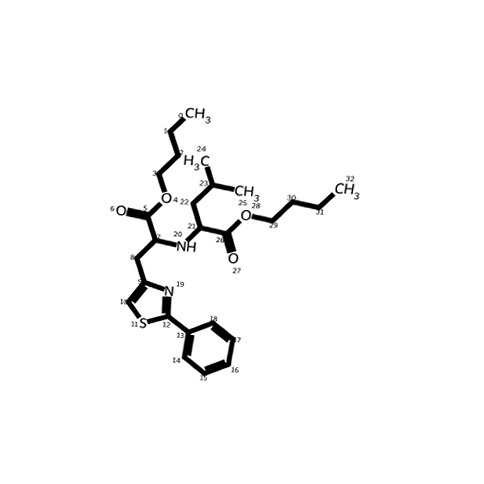 CCCCOC(=O)C(Cc1csc(-c2ccccc2)n1)NC(CC(C)C)C(=O)OCCCC